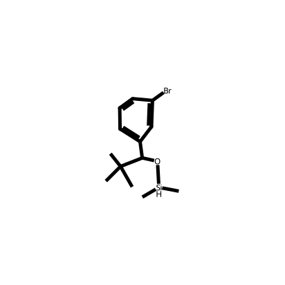 C[SiH](C)OC(c1cccc(Br)c1)C(C)(C)C